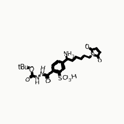 CC(C)(C)OC(=O)NNC(=O)c1ccc(C(N)CCCCCN2C(=O)C=CC2=O)cc1S(=O)(=O)O